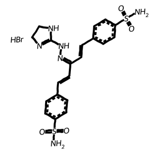 Br.NS(=O)(=O)c1ccc(C=CC(C=Cc2ccc(S(N)(=O)=O)cc2)=NNC2=NCCN2)cc1